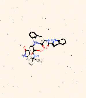 CC(C)(C)NC(=O)C(=O)C(C[C@@H]1CCNC1=O)NC(=O)[C@H](Cc1ccccc1)NC(=O)c1cc2ccccc2[nH]1